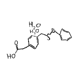 O.O.O=C(O)Cc1ccc(CS[B]c2ccccc2)cc1